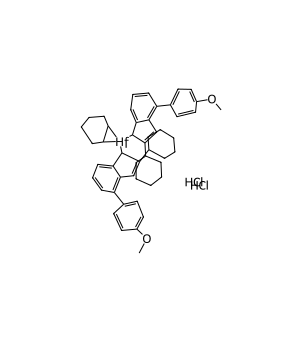 COc1ccc(-c2cccc3c2C=C(C2CCCCC2)[CH]3[Hf]2([CH]3C(C4CCCCC4)=Cc4c(-c5ccc(OC)cc5)cccc43)[CH]3CCCC[CH]32)cc1.Cl.Cl